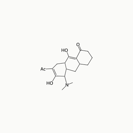 CC(=O)C1=C(O)C(N(C)C)C2CC3CCCC(=O)C3=C(O)C2C1